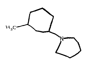 CC1CCCC(N2CCCC2)C1